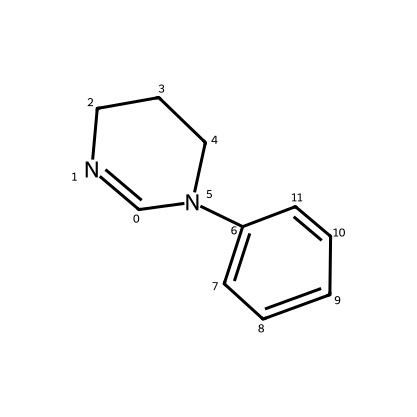 C1=NCCCN1c1ccccc1